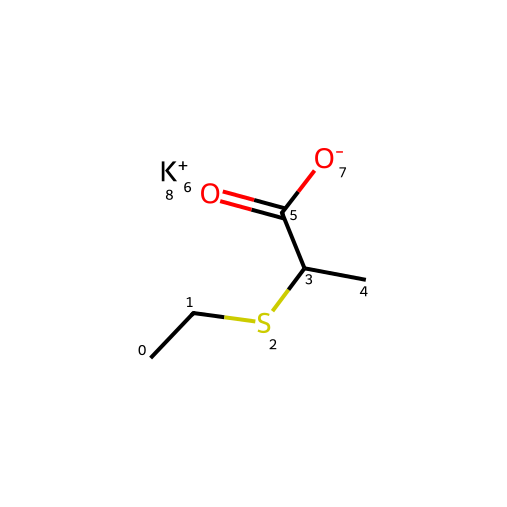 CCSC(C)C(=O)[O-].[K+]